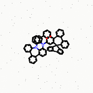 c1ccc(-c2ccccc2N(c2ccc3c(c2)C2(c4ccccc4-c4ccccc4-3)c3ccccc3-c3ccccc32)c2cccc3c2N(c2ccccc2)c2ccccc2-c2ccccc2-3)cc1